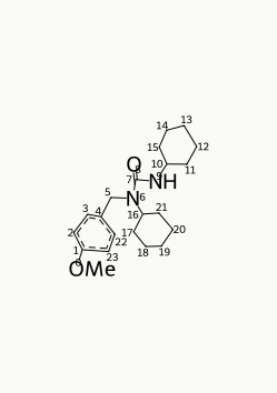 COc1ccc(CN(C(=O)NC2CCCCC2)C2CCCCC2)cc1